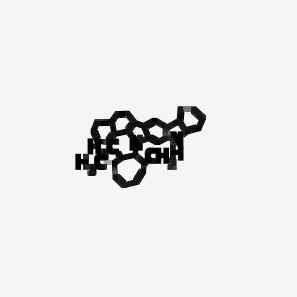 C=C1/C=C\C=C/[C@H](C)[C@@H](C)C1n1c2cc3[nH]c4ccccc4c3cc2c2ccc3ccccc3c21